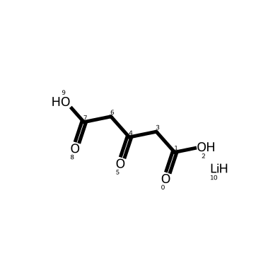 O=C(O)CC(=O)CC(=O)O.[LiH]